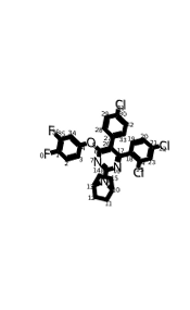 Fc1ccc(Oc2nc(N3C4CCC3CC4)nc(-c3ccc(Cl)cc3Cl)c2-c2ccc(Cl)cc2)cc1F